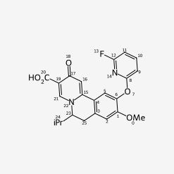 COc1cc2c(cc1Oc1cccc(F)n1)-c1cc(=O)c(C(=O)O)cn1C(C(C)C)C2